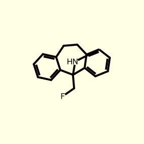 FCC12Nc3cccc1c3CCc1ccccc12